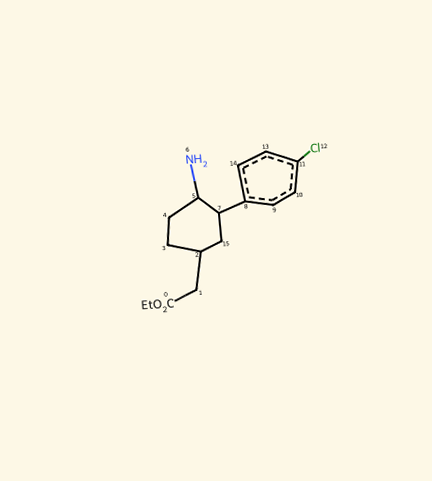 CCOC(=O)CC1CCC(N)C(c2ccc(Cl)cc2)C1